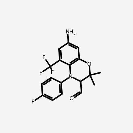 CC1(C)Oc2cc(N)cc(C(F)(F)F)c2N(c2ccc(F)cc2)C1C=O